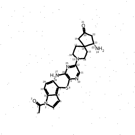 CC(=O)n1ccc2c(Sc3ncc(N4CCC5(CC4)CC(=O)C[C@@H]5N)nc3N)cccc21